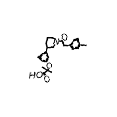 Cc1ccc(CC(=O)N2CCCC(c3cccc(OC(C)(C)C(=O)O)c3)C2)cc1